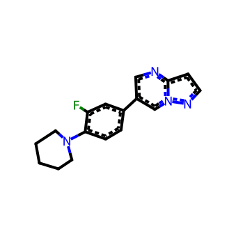 Fc1cc(-c2cnc3ccnn3c2)ccc1N1CCCCC1